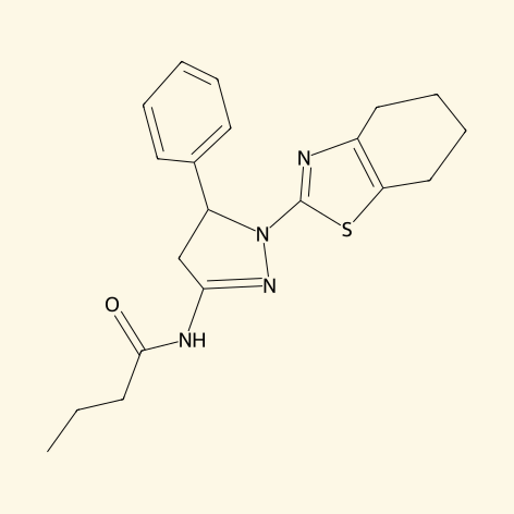 CCCC(=O)NC1=NN(c2nc3c(s2)CCCC3)C(c2ccccc2)C1